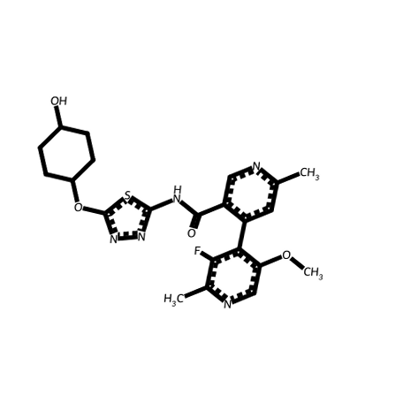 COc1cnc(C)c(F)c1-c1cc(C)ncc1C(=O)Nc1nnc(OC2CCC(O)CC2)s1